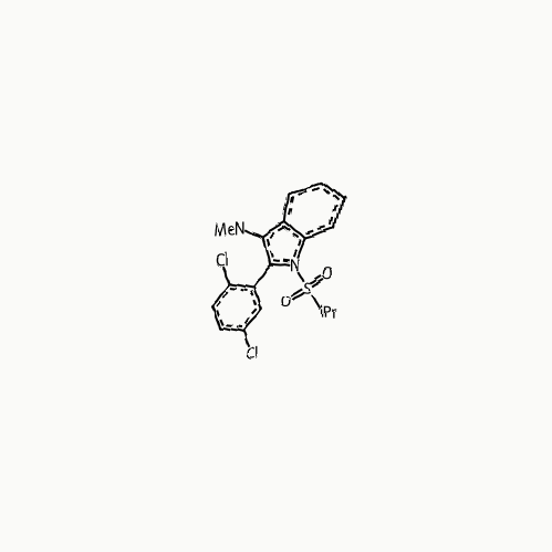 CNc1c(-c2cc(Cl)ccc2Cl)n(S(=O)(=O)C(C)C)c2ccccc12